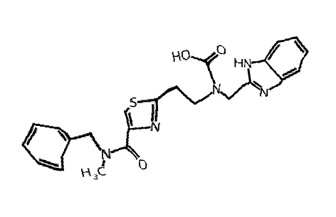 CN(Cc1ccccc1)C(=O)c1csc(CCN(Cc2nc3ccccc3[nH]2)C(=O)O)n1